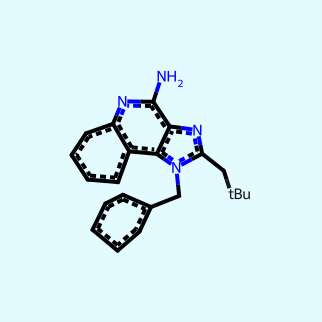 CC(C)(C)Cc1nc2c(N)nc3ccccc3c2n1Cc1ccccc1